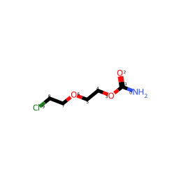 NC(=O)OCCOCCCl